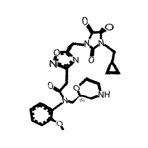 COc1ccccc1N(C[C@@H]1CNCCO1)C(=O)Cc1noc(CN2C(=O)C(=O)N(CC3CC3)C2=O)n1